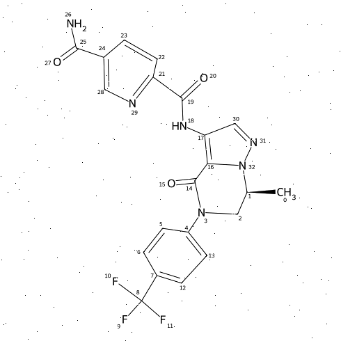 C[C@H]1CN(c2ccc(C(F)(F)F)cc2)C(=O)c2c(NC(=O)c3ccc(C(N)=O)cn3)cnn21